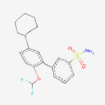 NS(=O)(=O)c1cccc(-c2cc(C3CCCCC3)ccc2OC(F)F)c1